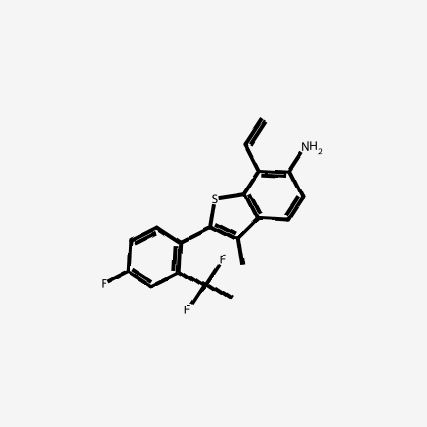 C=Cc1c(N)ccc2c(C)c(-c3ccc(F)cc3C(C)(F)F)sc12